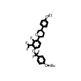 CCCCOc1ccc(C(F)(F)Oc2ccc(C3CCC(c4ccc(OCC)cc4)CO3)c(F)c2C(F)F)cc1